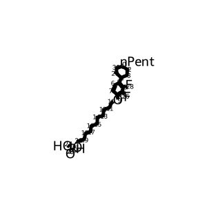 CCCCCC1CCC(c2ccc(OCCCCCCCCCCCO[PH](=O)O)c(F)c2F)CC1